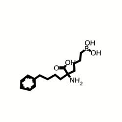 NC(CCCCB(O)O)(CCCCc1ccccc1)C(=O)O